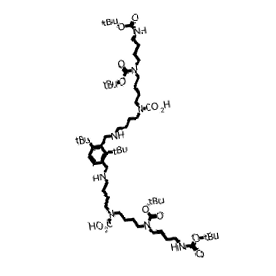 CC(C)(C)OC(=O)NCCCCN(CCCCN(CCCCNCc1ccc(C(C)(C)C)c(CNCCCCN(CCCCN(CCCCNC(=O)OC(C)(C)C)C(=O)OC(C)(C)C)C(=O)O)c1C(C)(C)C)C(=O)O)C(=O)OC(C)(C)C